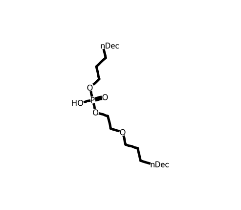 CCCCCCCCCCCCCOCCOP(=O)(O)OCCCCCCCCCCCCC